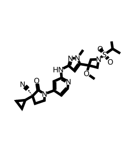 COC1(c2cc(Nc3cc(N4CC[C@@](C#N)(C5CC5)C4=O)ccn3)nn2C)CN(S(=O)(=O)C(C)C)C1